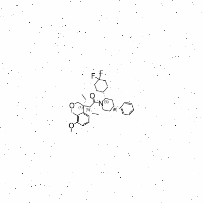 CC[C@@H](C(=O)N1CC[C@@H](c2ccccc2)C[C@H]1C1CCC(F)(F)CC1)[C@]1(CC)COCc2c(OC)cccc21